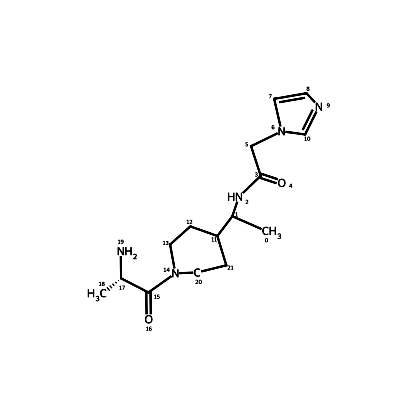 CC(NC(=O)Cn1ccnc1)C1CCN(C(=O)[C@H](C)N)CC1